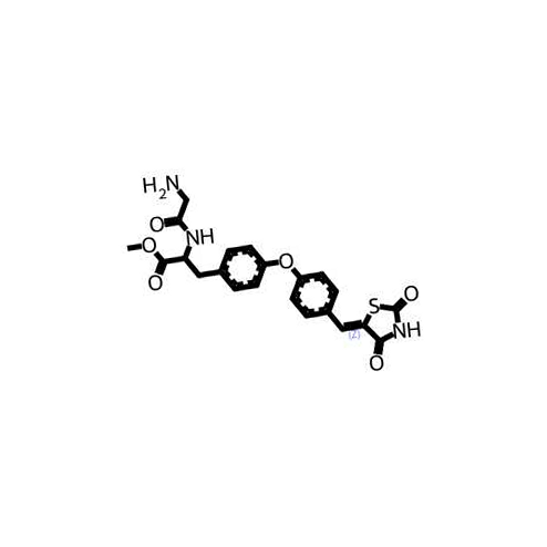 COC(=O)C(Cc1ccc(Oc2ccc(/C=C3\SC(=O)NC3=O)cc2)cc1)NC(=O)CN